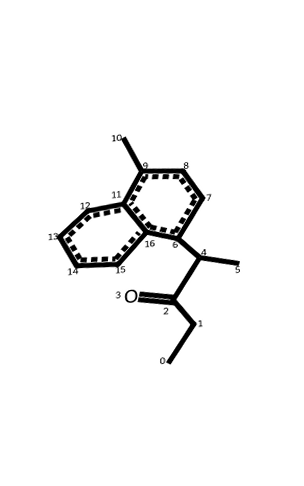 CCC(=O)C(C)c1ccc(C)c2ccccc12